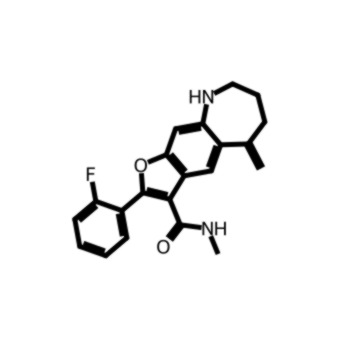 C=C1CCCNc2cc3oc(-c4ccccc4F)c(C(=O)NC)c3cc21